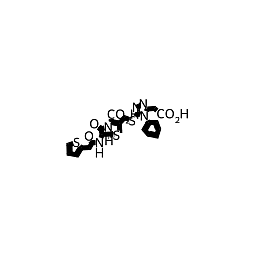 O=C(O)Cc1nnc(SCC2=C(C(=O)O)N3C(=O)C(NC(=O)Cc4cccs4)[C@@H]3SC2)n1-c1ccccc1